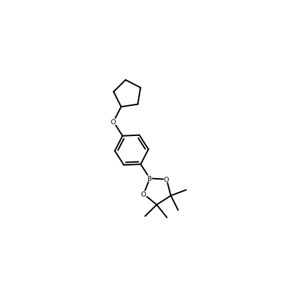 CC1(C)OB(c2ccc(OC3CCCC3)cc2)OC1(C)C